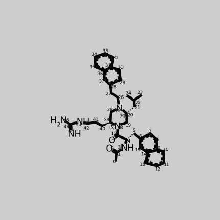 CC(=O)N[C@@H](Cc1ccc2ccccc2c1)C(=O)N1C[C@@H](CC(C)C)N(CCc2ccc3ccccc3c2)C[C@@H]1CCCNC(=N)N